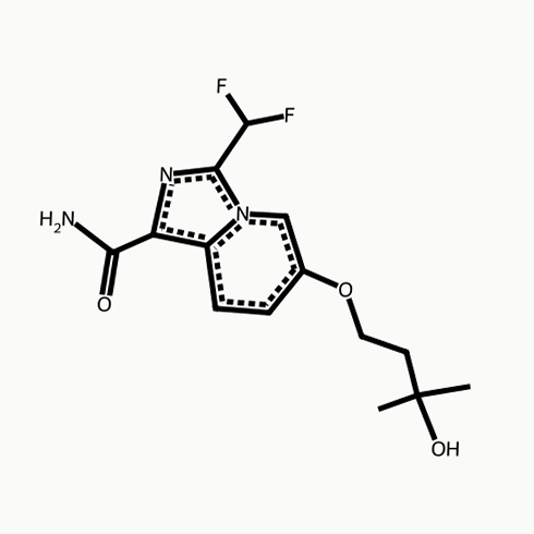 CC(C)(O)CCOc1ccc2c(C(N)=O)nc(C(F)F)n2c1